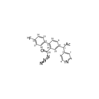 CC(=O)C(c1ccncc1)c1ccc(-c2ccc(F)cc2)c(C(=O)N=[N+]=[N-])c1